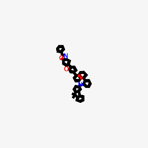 CC1(C)c2ccccc2-c2cc(N(c3ccc(-c4ccc5c(c4)oc4cc6oc(-c7ccccc7)nc6cc45)cc3)c3ccccc3-c3ccccc3)ccc21